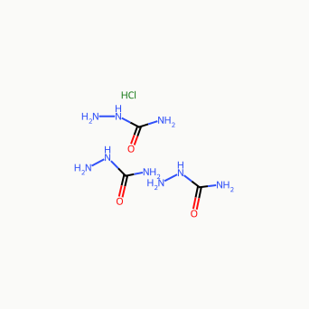 Cl.NNC(N)=O.NNC(N)=O.NNC(N)=O